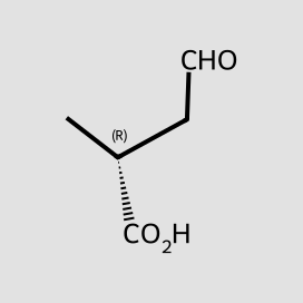 C[C@H](CC=O)C(=O)O